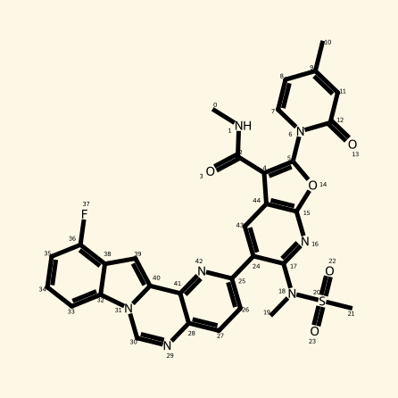 CNC(=O)c1c(-n2ccc(C)cc2=O)oc2nc(N(C)S(C)(=O)=O)c(-c3ccc4ncn5c6cccc(F)c6cc5c4n3)cc12